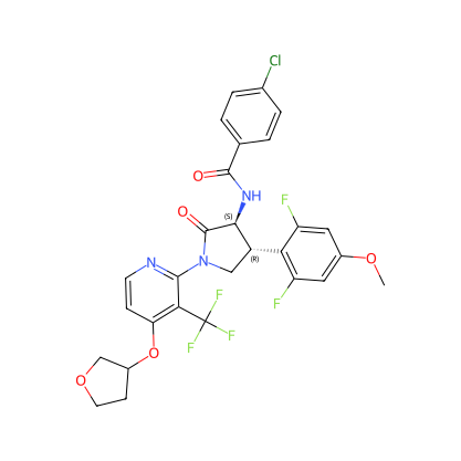 COc1cc(F)c([C@@H]2CN(c3nccc(OC4CCOC4)c3C(F)(F)F)C(=O)[C@H]2NC(=O)c2ccc(Cl)cc2)c(F)c1